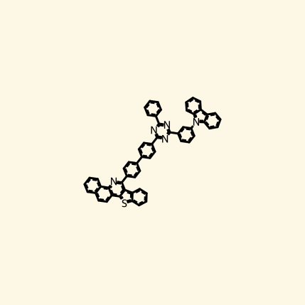 c1ccc(-c2nc(-c3ccc(-c4ccc(-c5nc6c7ccccc7ccc6c6sc7ccccc7c56)cc4)cc3)nc(-c3cccc(-n4c5ccccc5c5ccccc54)c3)n2)cc1